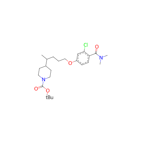 CC(CCCOc1ccc(C(=O)N(C)C)c(Cl)c1)C1CCN(C(=O)OC(C)(C)C)CC1